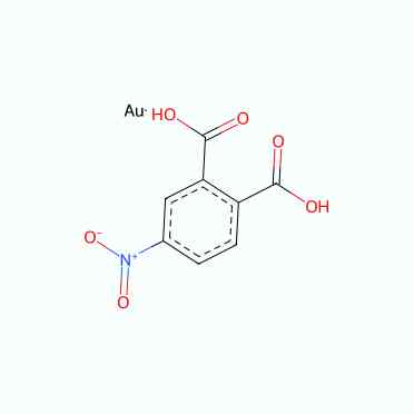 O=C(O)c1ccc([N+](=O)[O-])cc1C(=O)O.[Au]